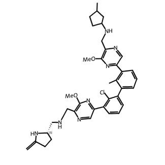 C=C1CC[C@@H](CNCc2ncc(-c3cccc(-c4cccc(-c5cnc(CNC6CCC(C)C6)c(OC)n5)c4C)c3Cl)nc2OC)N1